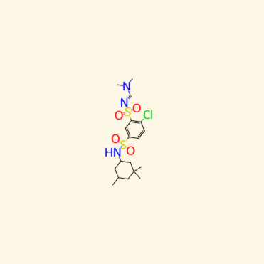 CC1CC(NS(=O)(=O)c2ccc(Cl)c(S(=O)(=O)N=CN(C)C)c2)CC(C)(C)C1